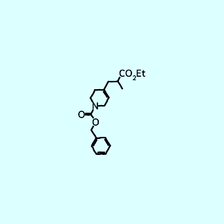 CCOC(=O)C(C)CC1=CCN(C(=O)OCc2ccccc2)CC1